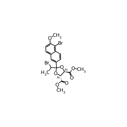 COC(=O)[C@@H]1OC(c2ccc3c(Br)c(OC)ccc3c2)(C(C)Br)O[C@H]1C(=O)OC